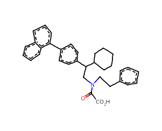 O=C(O)C(=O)N(CCc1ccccc1)CC(c1ccc(-c2cccc3ccccc23)cc1)C1CCCCC1